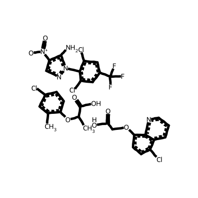 Cc1cc(Cl)ccc1OC(C)C(=O)O.Nc1c([N+](=O)[O-])cnn1-c1c(Cl)cc(C(F)(F)F)cc1Cl.O=C(O)COc1ccc(Cl)c2cccnc12